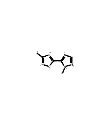 Cc1noc(-c2ncnn2C)n1